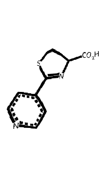 O=C(O)C1CSC(c2ccncc2)=N1